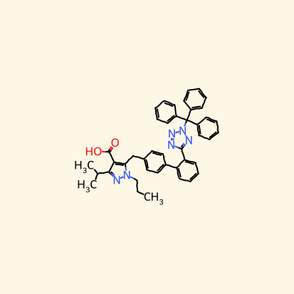 CCCn1nc(C(C)C)c(C(=O)O)c1Cc1ccc(-c2ccccc2-c2nnn(C(c3ccccc3)(c3ccccc3)c3ccccc3)n2)cc1